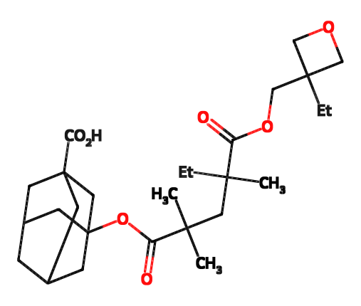 CCC1(COC(=O)C(C)(CC)CC(C)(C)C(=O)OC23CC4CC(C2)CC(C(=O)O)(C4)C3)COC1